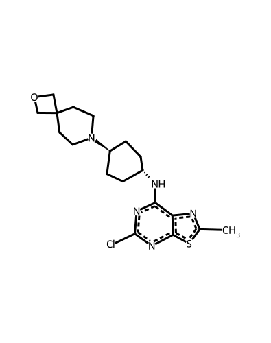 Cc1nc2c(N[C@H]3CC[C@H](N4CCC5(CC4)COC5)CC3)nc(Cl)nc2s1